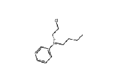 CCC[CH2][SnH]([CH2]CCl)[c]1ccccc1